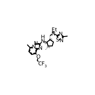 CCN(C[C@@H]1CC[C@H](C)[C@H]1Nc1nc2c(OCC(F)(F)F)ccc(C)n2n1)c1nc(C)ns1